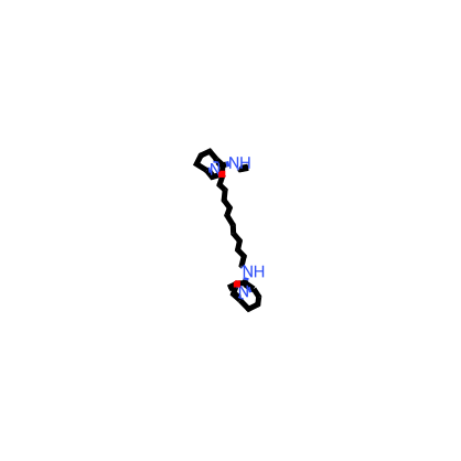 C=CNC1=C2CCCC(=CC1)N2CCCCCCCCCCCCNC1=C2CCCC(=CC1)N2C=C